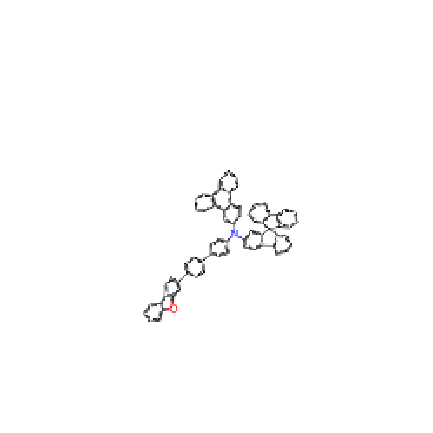 c1ccc2c(c1)-c1ccccc1C21c2ccccc2-c2ccc(N(c3ccc(-c4ccc(-c5ccc6c(c5)oc5ccccc56)cc4)cc3)c3ccc4c5ccccc5c5ccccc5c4c3)cc21